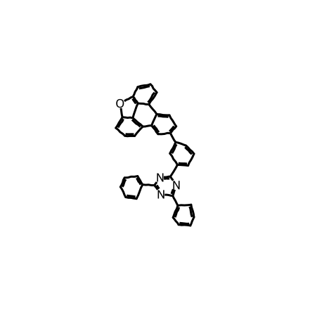 c1ccc(-c2nc(-c3ccccc3)nc(-c3cccc(-c4ccc5c(c4)c4cccc6oc7cccc5c7c64)c3)n2)cc1